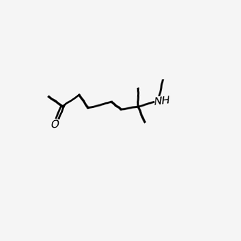 CNC(C)(C)CCCCC(C)=O